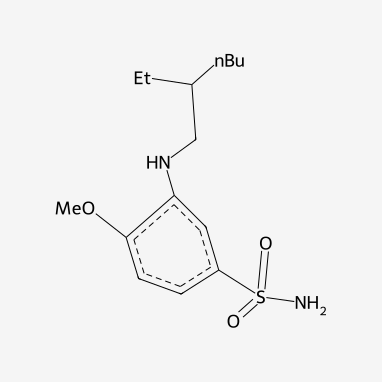 CCCCC(CC)CNc1cc(S(N)(=O)=O)ccc1OC